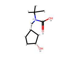 CC(C)(C)N(C[C@H]1CC[C@@H](O)C1)C(=O)O